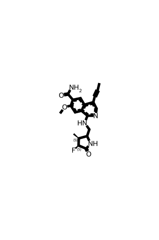 CC#Cc1cnc(NCC2NC(=O)[C@@H](F)[C@H]2C)c2cc(OC)c(C(N)=O)cc12